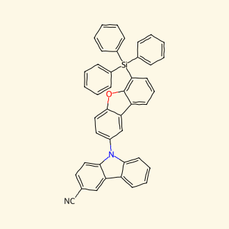 N#Cc1ccc2c(c1)c1ccccc1n2-c1ccc2oc3c([Si](c4ccccc4)(c4ccccc4)c4ccccc4)cccc3c2c1